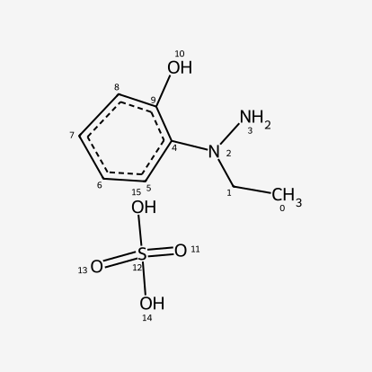 CCN(N)c1ccccc1O.O=S(=O)(O)O